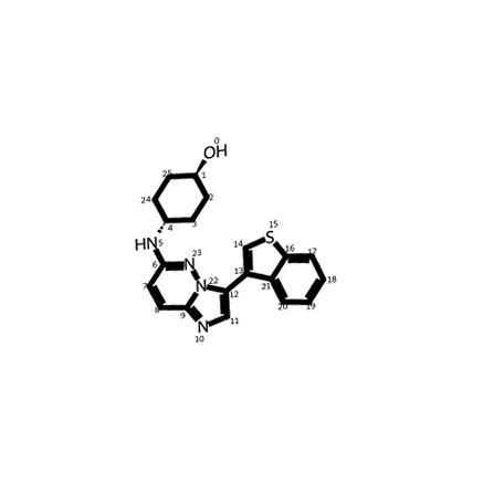 O[C@H]1CC[C@H](Nc2ccc3ncc(-c4csc5ccccc45)n3n2)CC1